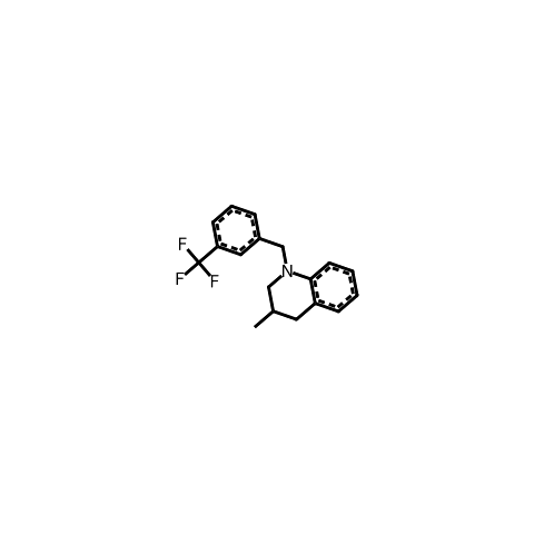 CC1Cc2ccccc2N(Cc2cccc(C(F)(F)F)c2)C1